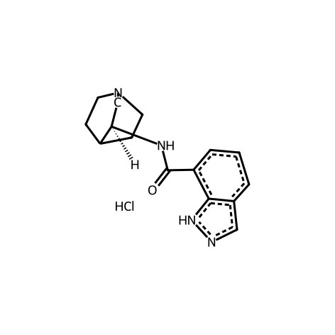 Cl.O=C(N[C@@H]1CN2CCC1CC2)c1cccc2cn[nH]c12